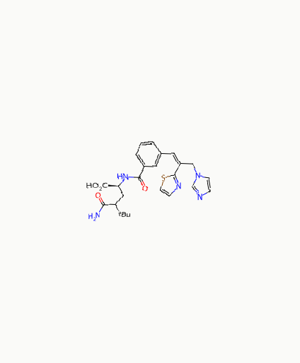 CC(C)(C)C(C[C@H](NC(=O)c1cccc(C=C(Cn2ccnc2)c2nccs2)c1)C(=O)O)C(N)=O